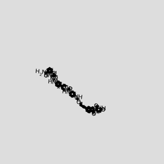 NC(=O)c1ccccc1Nc1nc(Nc2ccc(C3CCN(C(=O)NC4CCC(NCCOCCC#Cc5ccc6c(c5)CN(C5CCC(=O)NC5=O)C6=O)CC4)CC3)cc2)ncc1Cl